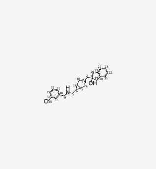 OC1(CN2CC3C(CNCc4cccc(Cl)c4)C3C2)Cc2ccccc2C1